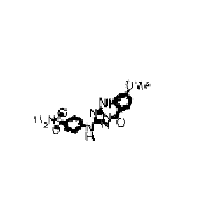 COc1ccc(C(=O)n2nc(Nc3ccc(S(N)(=O)=O)cc3)nc2N)cc1